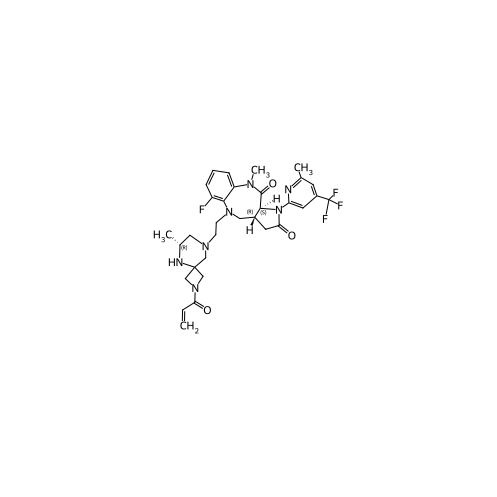 C=CC(=O)N1CC2(CN(CCN3C[C@H]4CC(=O)N(c5cc(C(F)(F)F)cc(C)n5)[C@@H]4C(=O)N(C)c4cccc(F)c43)C[C@@H](C)N2)C1